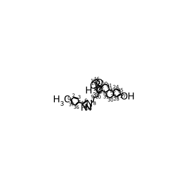 Cc1ccc(-c2cn(CCCC3CC4(OCCO4)C4(C)CCC5c6ccc(O)cc6CCC5C34)nn2)cc1